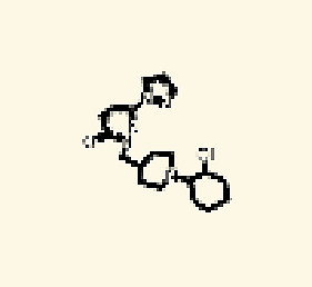 O=c1ccc(-n2cccn2)nn1CC1CCN(C2CCCCC2O)CC1